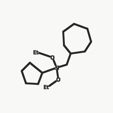 CCO[Si](CC1CCCCCC1)(OCC)C1CCCC1